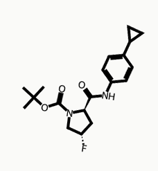 CC(C)(C)OC(=O)N1C[C@@H](F)C[C@@H]1C(=O)Nc1ccc(C2CC2)cc1